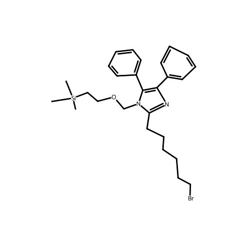 C[Si](C)(C)CCOCn1c(CCCCCCBr)nc(-c2ccccc2)c1-c1ccccc1